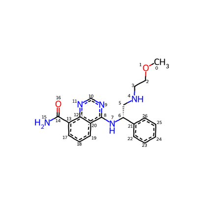 COCCNC[C@@H](Nc1ncnc2c(C(N)=O)cccc12)c1ccccc1